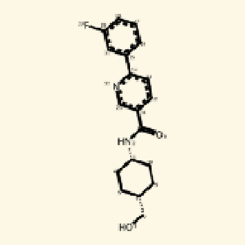 O=C(N[C@H]1CC[C@@H](CO)CC1)c1ccc(-c2cccc(F)c2)nc1